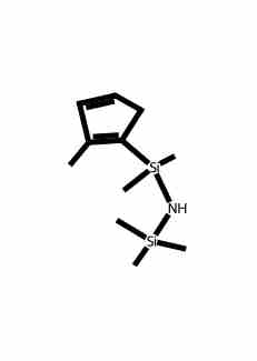 CC1=C([Si](C)(C)N[Si](C)(C)C)CC=C1